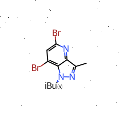 CC[C@H](C)n1nc(C)c2nc(Br)cc(Br)c21